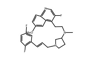 COc1ccc2ncc(F)c(CCN(C)C3CCN(C/C=C/c4cc(F)ccc4F)C3)c2c1